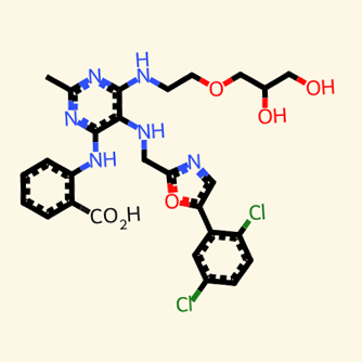 Cc1nc(NCCOCC(O)CO)c(NCc2ncc(-c3cc(Cl)ccc3Cl)o2)c(Nc2ccccc2C(=O)O)n1